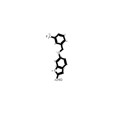 O=Cc1cc2ccc(OCc3cccc(C(F)(F)F)c3)cc2s1